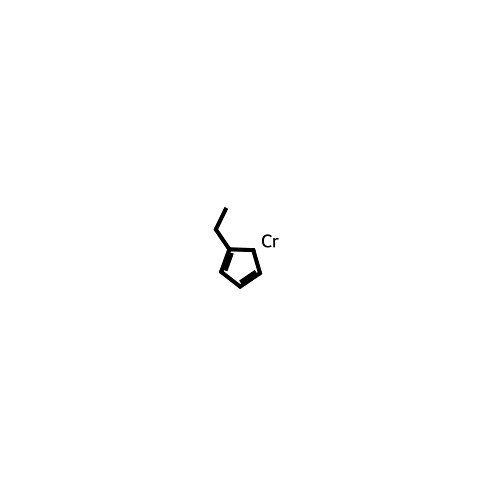 CCC1=CC=CC1.[Cr]